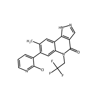 Cc1cc2c3[nH]ncc3c(=O)n(CC(F)(F)F)c2cc1-c1cccnc1Cl